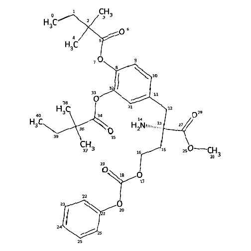 CCC(C)(C)C(=O)Oc1ccc(C[C@](N)(CCOC(=O)Oc2ccccc2)C(=O)OC)cc1OC(=O)C(C)(C)CC